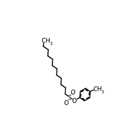 CCCCCCCCCCCCS(=O)(=O)Oc1ccc(C)cc1